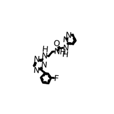 O=C(NCCNc1ncnc(-c2cccc(F)c2)n1)Nc1cccnn1